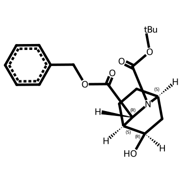 CC(C)(C)OC(=O)N1[C@H]2CC[C@H]([C@H](O)C2)[C@@H]1C(=O)OCc1ccccc1